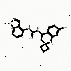 Cn1ncc2c(NC(=O)NC3CC4(CCC4)Oc4cc(F)ccc43)cccc21